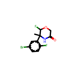 CC1(c2cc(Br)ccc2F)NC(=O)COC1F